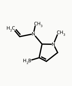 BC1=CCN(C)C1N(C)C=C